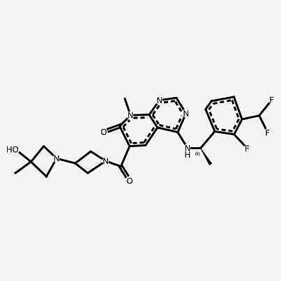 C[C@@H](Nc1ncnc2c1cc(C(=O)N1CC(N3CC(C)(O)C3)C1)c(=O)n2C)c1cccc(C(F)F)c1F